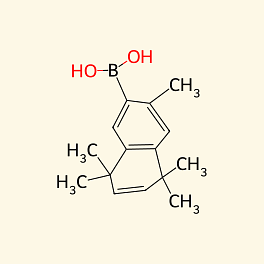 Cc1cc2c(cc1B(O)O)C(C)(C)C=CC2(C)C